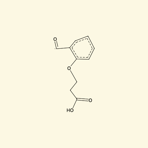 O=[C]c1ccccc1OCCC(=O)O